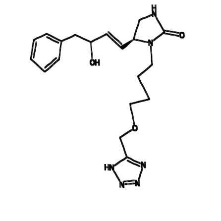 O=C1NC[C@H](C=CC(O)Cc2ccccc2)N1CCCCOCc1nnn[nH]1